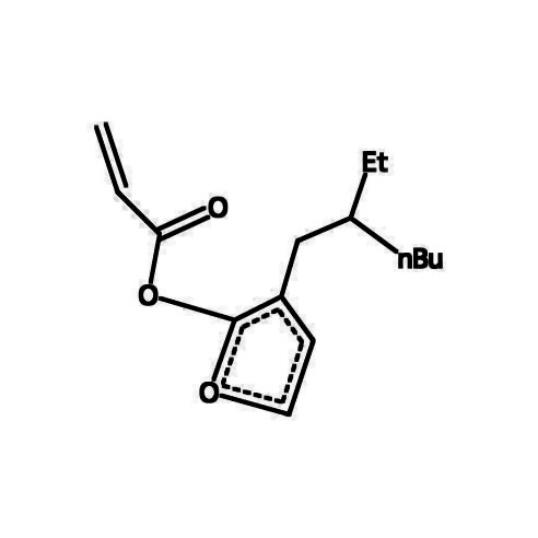 C=CC(=O)Oc1occc1CC(CC)CCCC